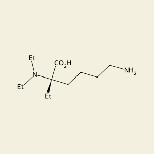 CCN(CC)[C@@](CC)(CCCCN)C(=O)O